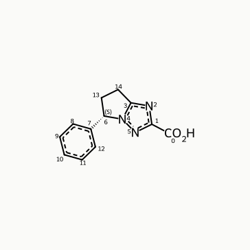 O=C(O)c1nc2n(n1)[C@H](c1ccccc1)CC2